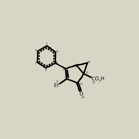 CCC1=C(c2ccccc2)C2CC2(C(=O)O)C1=O